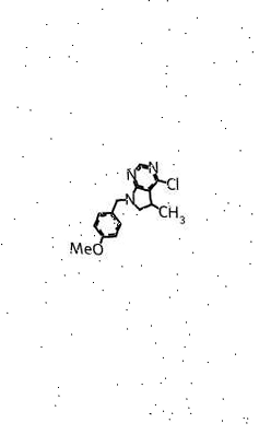 COc1ccc(CN2CC(C)c3c(Cl)ncnc32)cc1